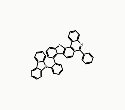 c1ccc(-c2nc3ccccc3c3c2ccc2c3sc3cccc(-c4ccccc4-n4c5ccccc5c5ccccc54)c32)cc1